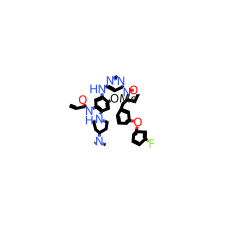 C=CC(=O)Nc1cc(Nc2cc(N3OCCC3Cc3cccc(Oc4cccc(F)c4)c3)ncn2)c(OC)cc1N1CCC(N(C)C)CC1